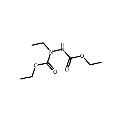 CCOC(=O)NN(CC)C(=O)OCC